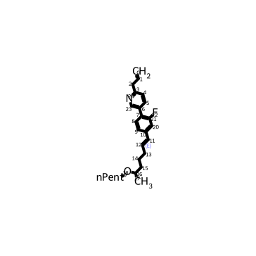 C=CCc1ccc(-c2ccc(/C=C/CCCC(C)OCCCCC)cc2F)cn1